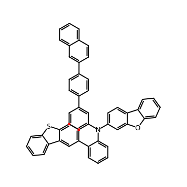 c1cc(-c2ccc(-c3ccc4ccccc4c3)cc2)cc(N(c2ccc3c(c2)oc2ccccc23)c2ccccc2-c2ccc3sc4ccccc4c3c2)c1